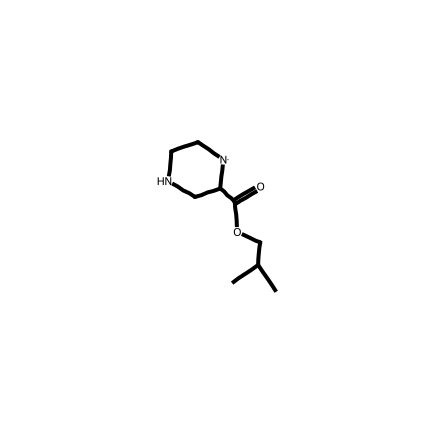 CC(C)COC(=O)C1CNCC[N]1